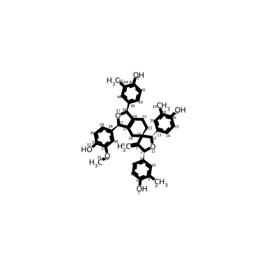 C=C1[C@@H](c2ccc(O)c(C)c2)O[C@@H](c2ccc(O)c(C)c2)[C@]12CCC1=C(C2)[C@@H](c2ccc(O)c(OC)c2)O[C@H]1c1ccc(O)c(C)c1